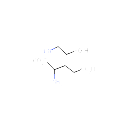 NC(CCC(=O)O)C(=O)O.NCCS(=O)(=O)O